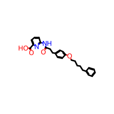 O=C(CCc1ccc(OCCCCCc2ccccc2)cc1)Nc1cccc(C(=O)O)n1